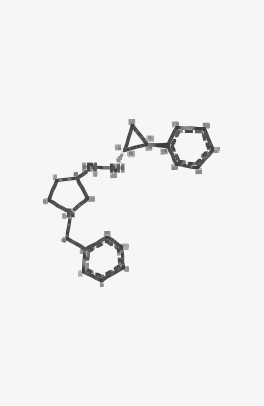 c1ccc(CN2CCC(NN[C@@H]3C[C@H]3c3ccccc3)C2)cc1